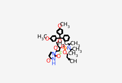 C#CCCOP(OC1C(COC(c2ccccc2)(c2ccc(OC)cc2)c2ccc(OC)cc2)OC(n2ccc(=O)[nH]c2=O)C1F)N(C(C)C)C(C)C